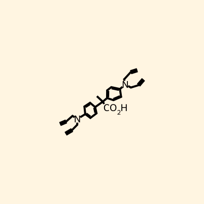 C#CCN(CC#C)c1ccc(C(C)(C(=O)O)c2ccc(N(CC#C)CC#C)cc2)cc1